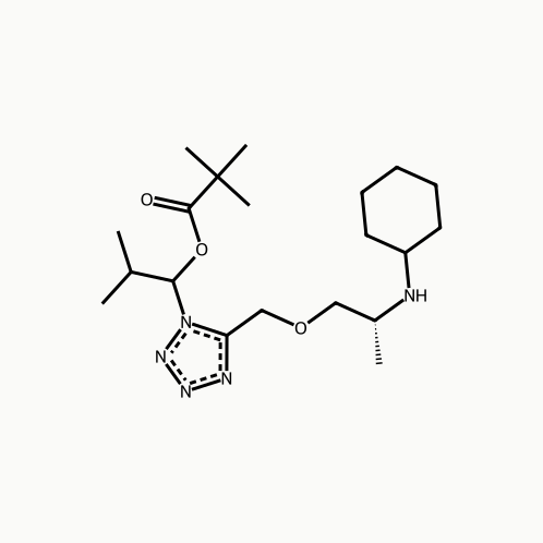 CC(C)C(OC(=O)C(C)(C)C)n1nnnc1COC[C@@H](C)NC1CCCCC1